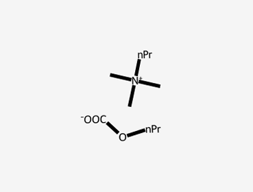 CCCOC(=O)[O-].CCC[N+](C)(C)C